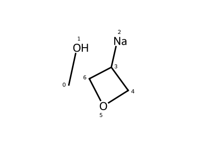 CO.[Na][CH]1COC1